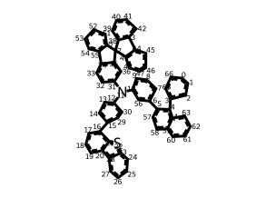 c1ccc(-c2c(-c3cccc(N(c4ccc(-c5cccc6c5sc5ccccc56)cc4)c4ccc5c(c4)C4(c6ccccc6-c6ccccc64)c4ccccc4-5)c3)ccc3ccccc23)cc1